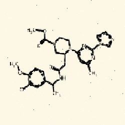 COC(=O)N1CCN(c2cc(C)nc(-n3ccnc3)n2)C(CC(=O)NC(C)c2ccc(OC)c(Cl)c2)C1